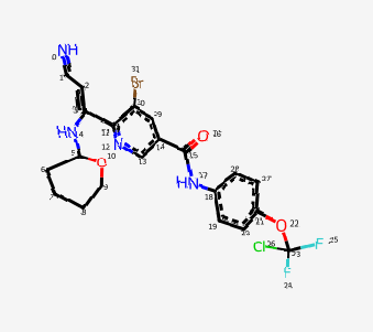 N=C/C=C(\NC1CCCCO1)c1ncc(C(=O)Nc2ccc(OC(F)(F)Cl)cc2)cc1Br